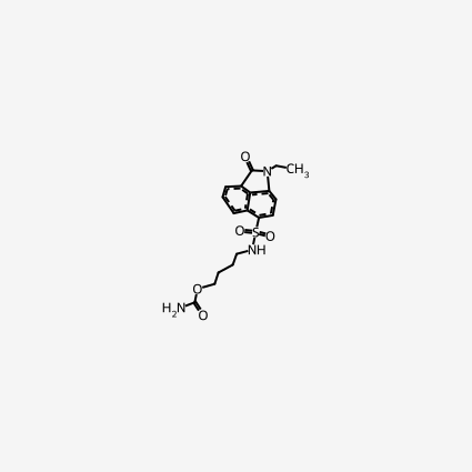 CCN1C(=O)c2cccc3c(S(=O)(=O)NCCCCOC(N)=O)ccc1c23